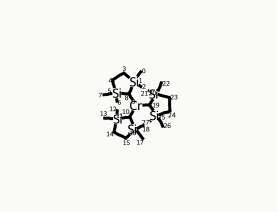 C[Si]1(C)CC[Si](C)(C)[CH]1[Cr]([CH]1[Si](C)(C)CC[Si]1(C)C)[CH]1[Si](C)(C)CC[Si]1(C)C